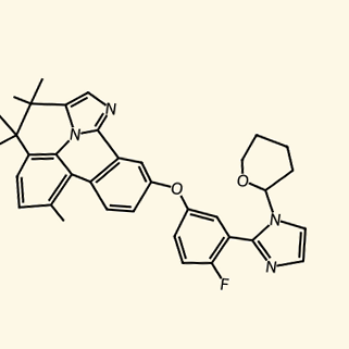 Cc1ccc2c3c1c1ccc(Oc4ccc(F)c(-c5nccn5C5CCCCO5)c4)cc1c1ncc(n13)C(C)(C)C2(C)C